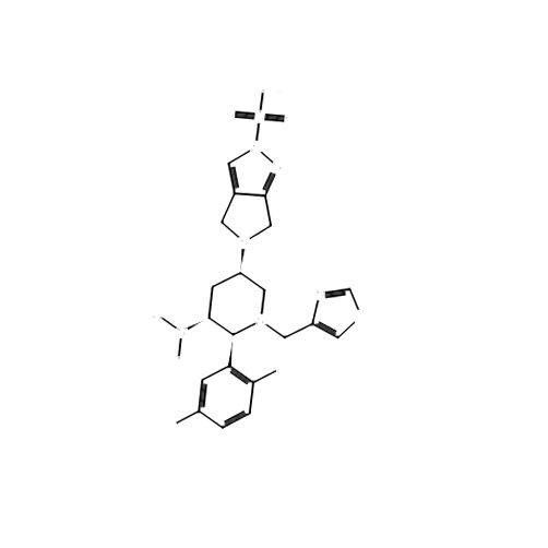 CC(C)(C)N(C(=O)O)[C@H]1C[C@@H](N2Cc3cn(S(C)(=O)=O)nc3C2)CN(Cc2cocn2)[C@H]1c1cc(F)ccc1F